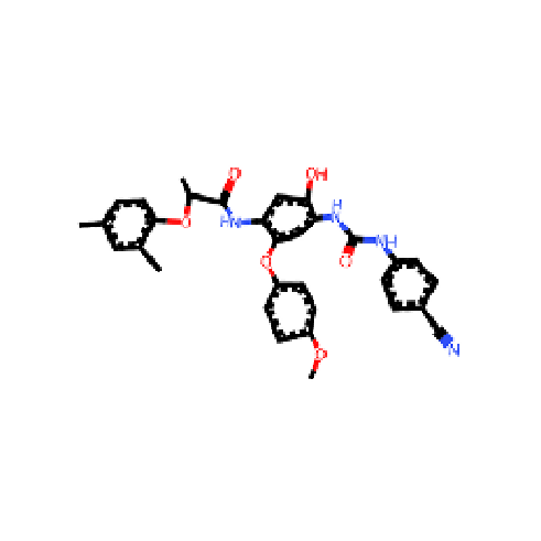 COc1ccc(Oc2cc(NC(=O)Nc3ccc(C#N)cc3)c(O)cc2NC(=O)C(C)Oc2ccc(C)cc2C)cc1